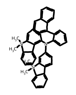 C[Si]1(C)c2ccccc2-c2ccc(N(c3ccccc3-c3cccc4ccccc34)c3cccc4c3-c3ccccc3[Si]4(C)C)cc21